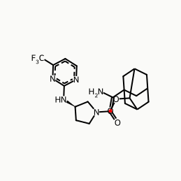 NC(=O)C12CC3CC(C1)C(OC(=O)N1CC[C@@H](Nc4nccc(C(F)(F)F)n4)C1)C(C3)C2